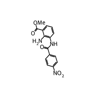 COC(=O)c1cccc(NC(=O)c2ccc([N+](=O)[O-])cc2)c1N